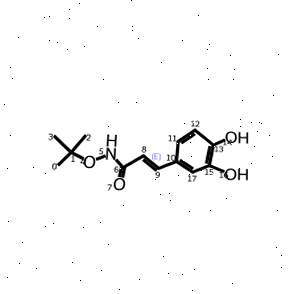 CC(C)(C)ONC(=O)/C=C/c1ccc(O)c(O)c1